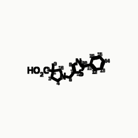 CC1(C(=O)O)CCN(Cc2cnc(-c3ccccc3)s2)C1